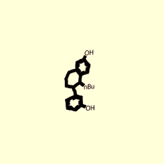 CCCCC1c2ccc(O)cc2CCCC1c1cccc(O)c1